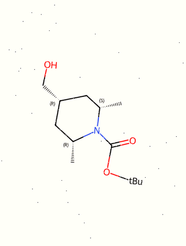 C[C@@H]1C[C@H](CO)C[C@H](C)N1C(=O)OC(C)(C)C